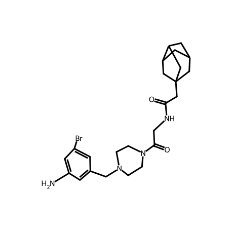 Nc1cc(Br)cc(CN2CCN(C(=O)CNC(=O)CC34CC5CC(C3)C(C5)C4)CC2)c1